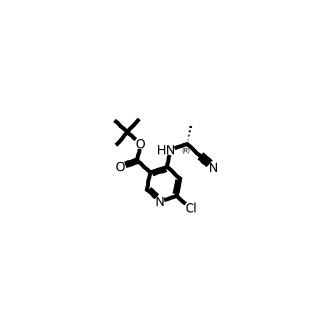 C[C@H](C#N)Nc1cc(Cl)ncc1C(=O)OC(C)(C)C